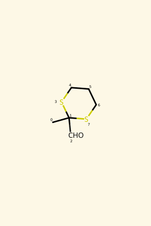 CC1(C=O)SCCCS1